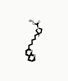 CC(C)(C)OC(=O)N1CCC(F)(CCCCCc2ccc3cccnc3n2)C1